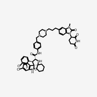 Cn1c(=O)n(C2CCC(=O)NC2=O)c2ccc(CCCN3CCN(Cc4ccc(NC(=O)[C@@H]5NC6(CCCCC6)[C@@]6(C(=O)Nc7cc(Cl)ccc76)[C@H]5c5cccc(Cl)c5F)cc4)CC3)cc21